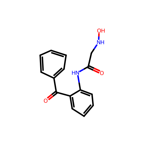 O=C(CNO)Nc1ccccc1C(=O)c1ccccc1